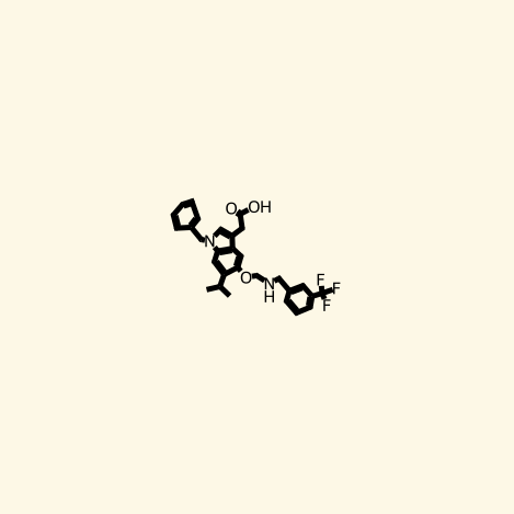 CC(C)c1cc2c(cc1OCNCc1cccc(C(F)(F)F)c1)c(CC(=O)O)cn2Cc1ccccc1